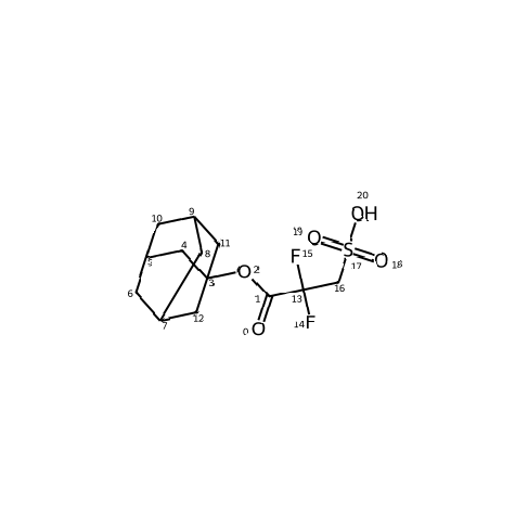 O=C(OC12CC3CC(CC(C3)C1)C2)C(F)(F)CS(=O)(=O)O